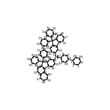 c1ccc(-c2ccc(N(c3ccc4c(c3)-c3ccccc3C4(c3ccccc3)c3ccccc3)c3ccc4c(c3)C(c3ccccc3)(c3ccccc3)c3ccc5ccccc5c3-4)cc2)cc1